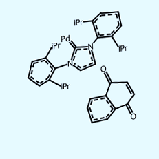 CC(C)c1cccc(C(C)C)c1-n1ccn(-c2c(C(C)C)cccc2C(C)C)[c]1=[Pd].O=C1C=CC(=O)c2ccccc21